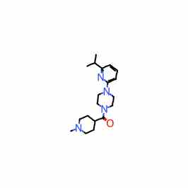 CC(C)c1cccc(N2CCN(C(=O)C3CCN(C)CC3)CC2)n1